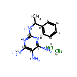 CC(Nc1nc(N)c(N)c(N)n1)c1ccccc1.Cl.Cl